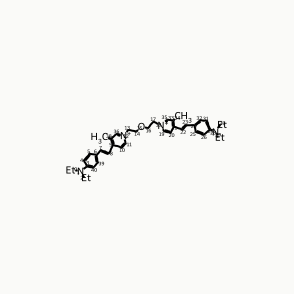 CCN(CC)c1ccc(/C=C/c2cc[n+](CCOCC[n+]3ccc(/C=C/c4ccc(N(CC)CC)cc4)c(C)c3)cc2C)cc1